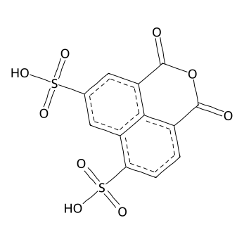 O=C1OC(=O)c2cc(S(=O)(=O)O)cc3c(S(=O)(=O)O)ccc1c23